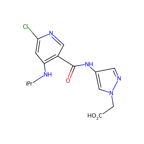 CC(C)Nc1cc(Cl)ncc1C(=O)Nc1cnn(CC(=O)O)c1